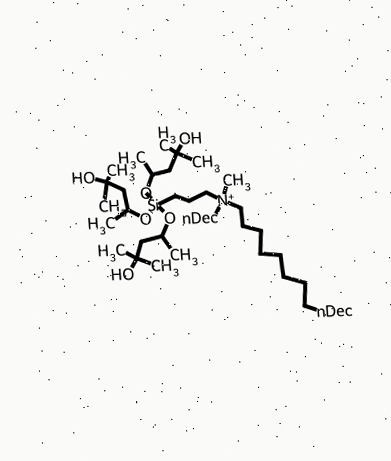 CCCCCCCCCCCCCCCCCC[N+](C)(CCCCCCCCCC)CCC[Si](OC(C)CC(C)(C)O)(OC(C)CC(C)(C)O)OC(C)CC(C)(C)O